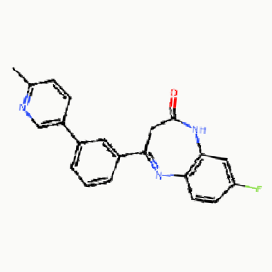 Cc1ccc(-c2cccc(C3=Nc4ccc(F)cc4NC(=O)C3)c2)cn1